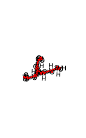 O=C(CCCCC1SCC2NC(=O)NC21)NCCCCCC(=O)NC1CCN(c2nc(N3CCC(C(=O)NCCCCCC(=O)ON4C(=O)CCC4=O)CC3)nc(N3CCC(C(=O)NCCCCCC(=O)ON4C(=O)CCC4=O)CC3)n2)CC1